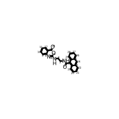 O=C(NCCNc1nc2ccccc2c(=O)o1)c1c2[c]cccc2cc2ccccc12